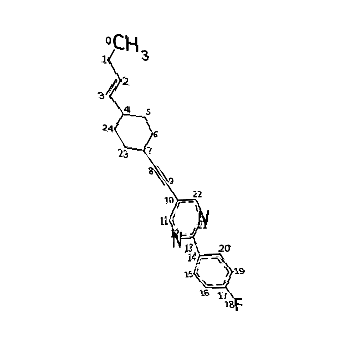 CCC=CC1CCC(C#Cc2cnc(-c3ccc(F)cc3)nc2)CC1